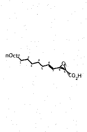 CCCCCCCCCCCCCC=CC1=C(C(=O)O)O1